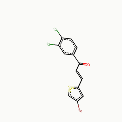 O=C(/C=C/c1cc(Br)cs1)c1ccc(Cl)c(Cl)c1